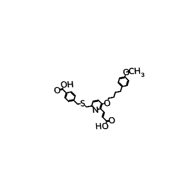 COc1ccc(CCCCOc2ccc(CSCc3ccc(C(=O)O)cc3)nc2C=CC(=O)O)cc1